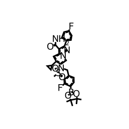 CC1(C)OB(c2ccc(CN(c3cn4nc(-c5ccc(F)cc5)c(C(N)=O)c4cc3C3CC3)S(C)(=O)=O)cc2F)OC1(C)C